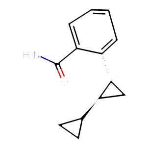 NC(=O)c1ccccc1[C@@H]1C[C@H]1C1CC1